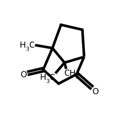 CC12CCC(C(=O)CC1=O)C2(C)C